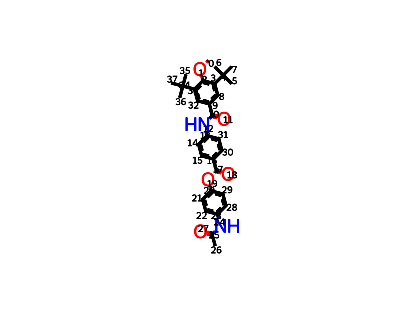 COc1c(C(C)(C)C)cc(C(=O)Nc2ccc(C(=O)Oc3ccc(NC(C)=O)cc3)cc2)cc1C(C)(C)C